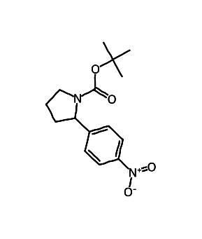 CC(C)(C)OC(=O)N1CCCC1c1ccc([N+](=O)[O-])cc1